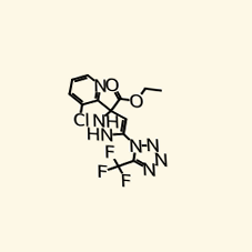 CCOC(=O)C1(c2ncccc2Cl)C=C(n2nnnc2C(F)(F)F)NN1